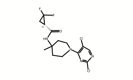 CC1(NC(=O)[C@@H]2CC2(F)F)CCN(c2nc(Cl)ncc2Cl)CC1